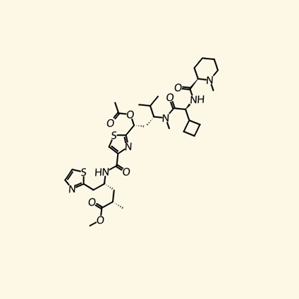 COC(=O)[C@@H](C)C[C@H](Cc1nccs1)NC(=O)c1csc([C@@H](C[C@H](C(C)C)N(C)C(=O)[C@@H](NC(=O)[C@H]2CCCCN2C)C2CCC2)OC(C)=O)n1